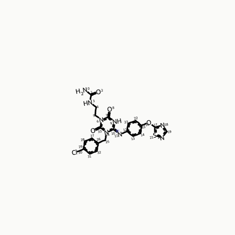 NC(=O)NCCn1c(=O)[nH]/c(=N\c2ccc(Oc3ncns3)cc2)n(Cc2ccc(Cl)cc2)c1=O